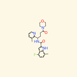 Cc1cccnc1C(CCC(=O)N1CCOCC1)NC(=O)c1cc2c(F)ccc(C)c2[nH]1